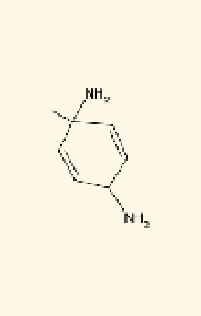 CC1(N)C=CC(N)C=C1